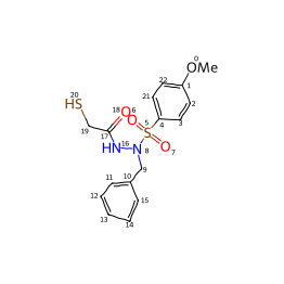 COc1ccc(S(=O)(=O)N(Cc2ccccc2)NC(=O)CS)cc1